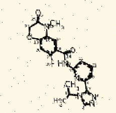 CC(C)n1cnnc1-c1cccc(NC(=O)c2cc3c(cc2F)OCC(=O)N3C)n1